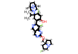 CC(C)C1(N2C[C@H]3CC[C@@H](C2)N3)CC(c2ncc3cnc(OC[C@@]45CCCN4C[C@H](F)C5)nc3c2F)=C(O)C=C1F